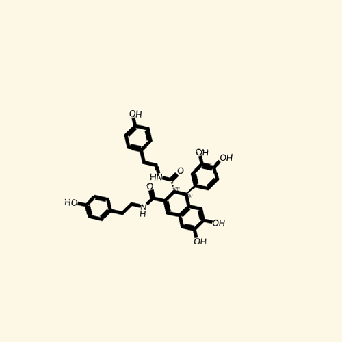 O=C(NCCc1ccc(O)cc1)C1=Cc2cc(O)c(O)cc2[C@H](c2ccc(O)c(O)c2)[C@H]1C(=O)NCCc1ccc(O)cc1